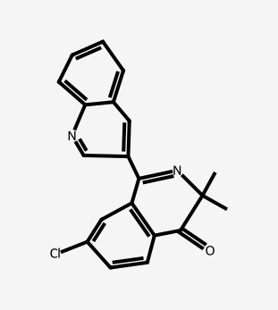 CC1(C)N=C(c2cnc3ccccc3c2)c2cc(Cl)ccc2C1=O